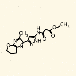 CCOC(=O)CC(=O)Nc1cc(-c2nc3c(nc2C)OCCC3)n[nH]1